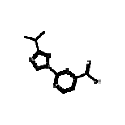 CC(C)c1ncn(-c2nccc(C(=O)O)n2)n1